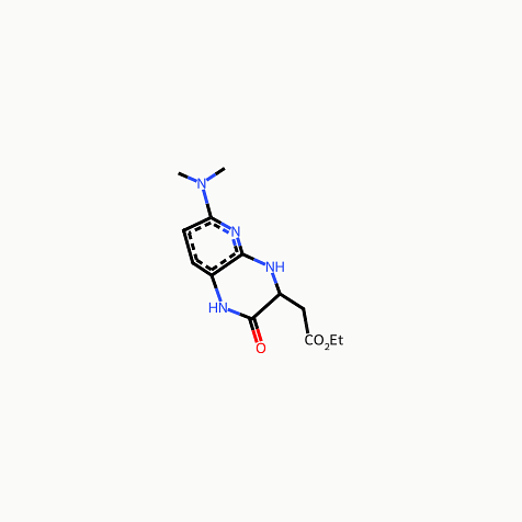 CCOC(=O)CC1Nc2nc(N(C)C)ccc2NC1=O